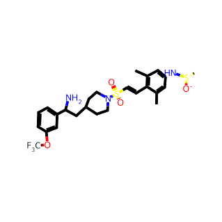 Cc1cc(N[S+](C)[O-])cc(C)c1/C=C/S(=O)(=O)N1CCC(CC(N)c2cccc(OC(F)(F)F)c2)CC1